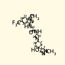 Cn1cc([C@]2(O)CC[C@H](N3CC(NC(=O)CNc4nn(C)c5ccc(C(F)(F)F)cc45)C3)CC2)cn1